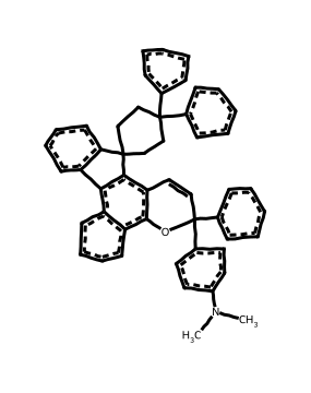 CN(C)c1ccc(C2(c3ccccc3)C=Cc3c4c(c5ccccc5c3O2)-c2ccccc2C42CCC(c3ccccc3)(c3ccccc3)CC2)cc1